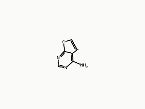 Nc1ncnc2oc[c]c12